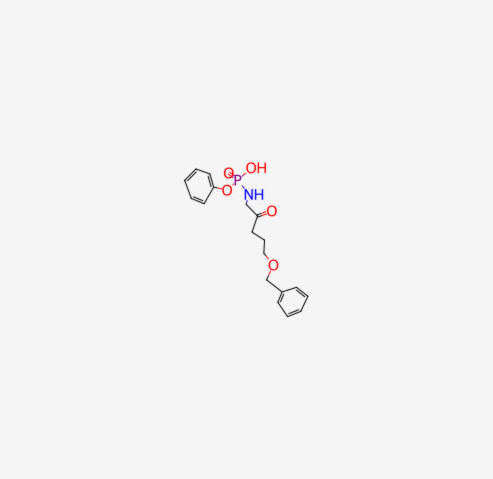 O=C(CCCOCc1ccccc1)CNP(=O)(O)Oc1ccccc1